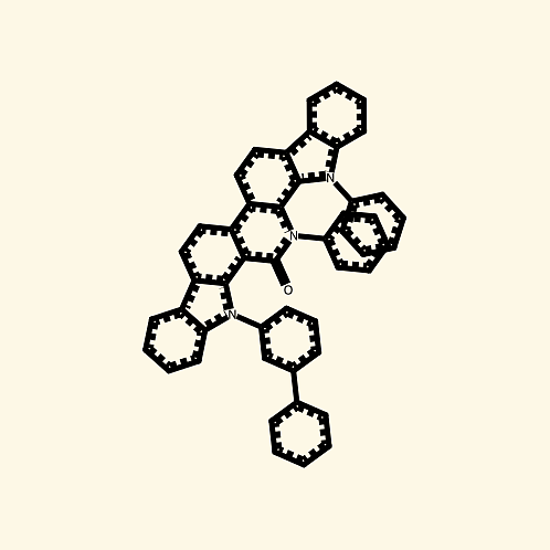 O=c1c2c(ccc3c4ccccc4n(-c4cccc(-c5ccccc5)c4)c32)c2ccc3c4ccccc4n(-c4ccccc4)c3c2n1-c1ccccc1